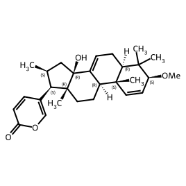 CO[C@H]1C=C[C@]2(C)[C@H]3CC[C@]4(C)[C@@H](c5ccc(=O)oc5)[C@@H](C)C[C@]4(O)C3=CC[C@H]2C1(C)C